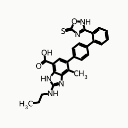 CCCNc1nc2c(C)c(-c3ccc(-c4ccccc4-c4nc(=S)o[nH]4)cc3)cc(C(=O)O)c2[nH]1